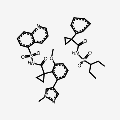 CCC(CC)S(=O)(=O)NC(=O)C1(c2ccccc2)CC1.COc1cccc(-c2cnn(C)c2)c1C1(C(=O)NS(=O)(=O)c2cccc3ncccc23)CC1